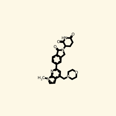 Cn1ccc2c(CN3CCOCC3)cc(-c3ccc4c(c3)CN(C3CCC(=O)NC3=O)C4=O)nc21